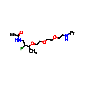 CCC(=O)NCC(F)C(C)OCCOCCOCCNC(C)C